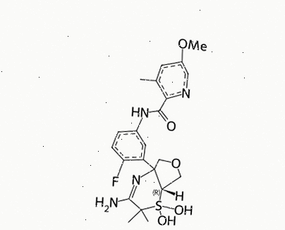 COc1cnc(C(=O)Nc2ccc(F)c(C34COC[C@@H]3S(O)(O)C(C)(C)C(N)=N4)c2)c(C)c1